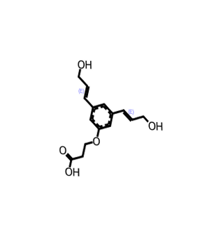 O=C(O)CCOc1cc(/C=C/CO)cc(/C=C/CO)c1